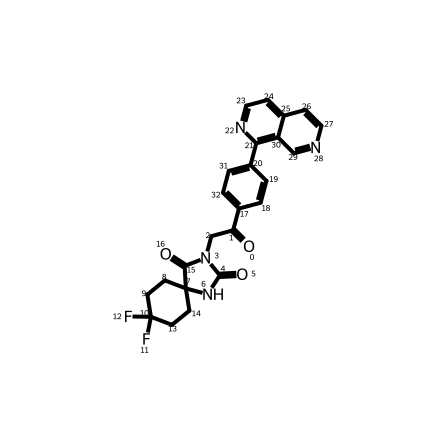 O=C(CN1C(=O)NC2(CCC(F)(F)CC2)C1=O)c1ccc(-c2nccc3ccncc23)cc1